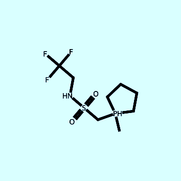 C[PH]1(CS(=O)(=O)NCC(F)(F)F)CCCC1